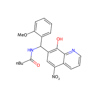 CCCCC(=O)NC(c1ccccc1OC)c1cc([N+](=O)[O-])c2cccnc2c1O